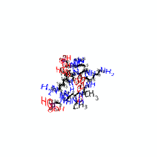 CC(=O)N[C@@H](Cc1cn(CCP(=O)(O)O)nn1)C(=O)N[C@@H](C)C(=O)N[C@@H](CCCCN)C(=O)N[C@@H](Cc1cn(CCP(=O)(O)O)nn1)C(=O)N[C@@H](C)C(=O)N[C@@H](CCCCN)C(=O)O